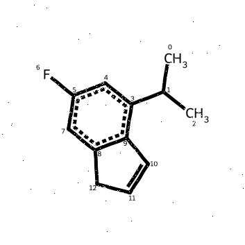 CC(C)c1cc(F)cc2c1C=CC2